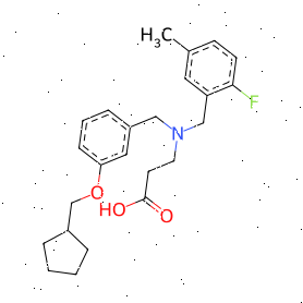 Cc1ccc(F)c(CN(CCC(=O)O)Cc2cccc(OCC3CCCC3)c2)c1